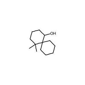 CC1(C)CCCC(O)C12CCCCC2